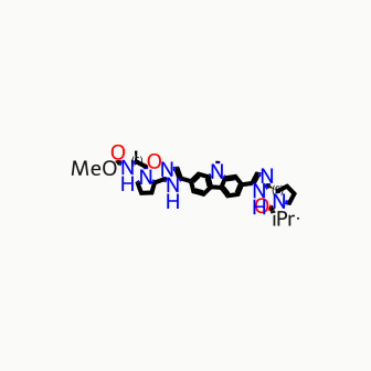 COC(=O)N[C@@H](C)C(=O)N1CCCC1c1ncc(-c2ccc3c4ccc(-c5cnc([C@@H]6CCCN6C(=O)[C](C)C)[nH]5)cc4n(C)c3c2)[nH]1